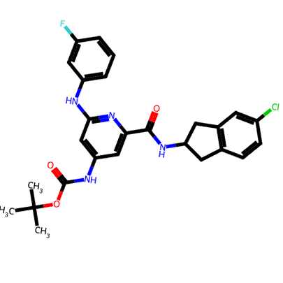 CC(C)(C)OC(=O)Nc1cc(Nc2cccc(F)c2)nc(C(=O)NC2Cc3ccc(Cl)cc3C2)c1